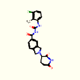 Cc1c(Cl)cccc1NC(=O)NC(=O)c1ccc2c(c1)CN(C1CCC(=O)NC1=O)C2